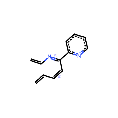 C=C/C=C\C(=N/C=C)c1ccccn1